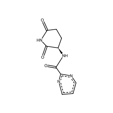 O=C1CC[C@@H](NC(=O)c2ncccn2)C(=O)N1